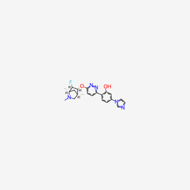 CN1C[C@@]2(C)C[C@]1(C)[C@@H](F)[C@@H]2Oc1ccc(-c2ccc(-n3ccnc3)cc2O)nn1